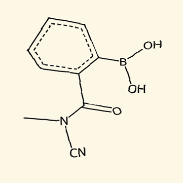 CN(C#N)C(=O)c1ccccc1B(O)O